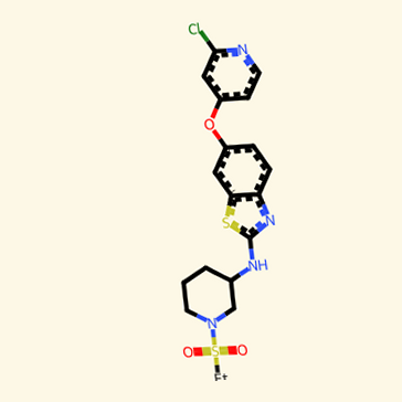 CCS(=O)(=O)N1CCCC(Nc2nc3ccc(Oc4ccnc(Cl)c4)cc3s2)C1